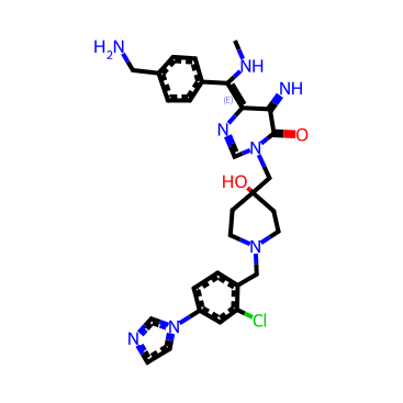 CN/C(=C1/N=CN(CC2(O)CCN(Cc3ccc(-n4ccnc4)cc3Cl)CC2)C(=O)C1=N)c1ccc(CN)cc1